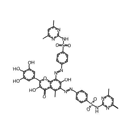 Cc1cc(C)nc(NS(=O)(=O)c2ccc(N=Nc3c(O)c(N=Nc4ccc(S(=O)(=O)Nc5nc(C)cc(C)n5)cc4)c4oc(-c5cc(O)c(O)c(O)c5)c(O)c(=O)c4c3C)cc2)n1